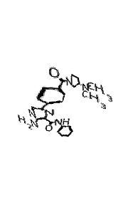 CN(C)[C@H]1CCN(C(=O)c2ccc(-c3cnc(N)c(C(=O)Nc4ccccc4)n3)cc2)C1